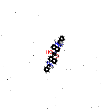 CCC1(Cc2ccccc2)N(C)c2cccc3c(C4C(=O)/C(=c5\ccc6c7c(cccc57)N(C)C(CC)(Cc5ccccc5)[N+]=6C)C4O)ccc(c23)N1C